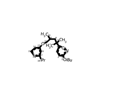 CC(C)COc1ccc(C(C)(C)CC(C)COc2ccnc(C(C)C)c2)cn1